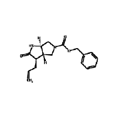 C=CC[C@H]1C(=O)N[C@H]2CN(C(=O)OCc3ccccc3)C[C@@H]21